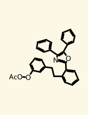 CC(=O)OOc1cccc(CCc2ccccc2-c2nc(-c3ccccc3)c(-c3ccccc3)o2)c1